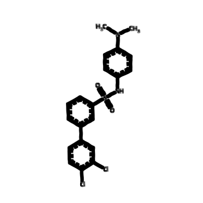 CN(C)c1ccc(NS(=O)(=O)c2cccc(-c3ccc(Cl)c(Cl)c3)c2)cc1